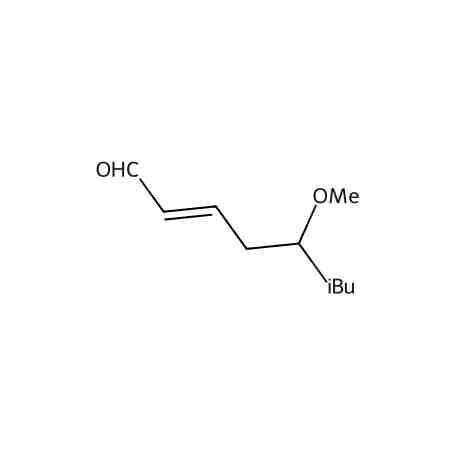 CCC(C)C(CC=CC=O)OC